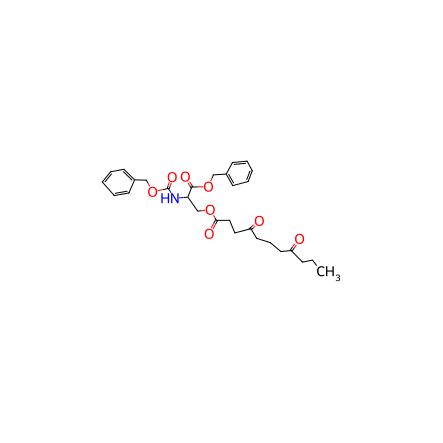 CCCC(=O)CCCC(=O)CCC(=O)OCC(NC(=O)OCc1ccccc1)C(=O)OCc1ccccc1